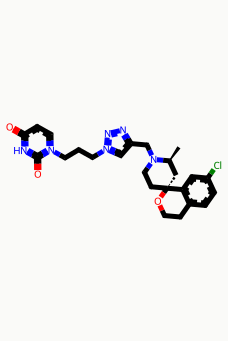 C[C@H]1C[C@@]2(CCN1Cc1cn(CCCn3ccc(=O)[nH]c3=O)nn1)OCCc1ccc(Cl)cc12